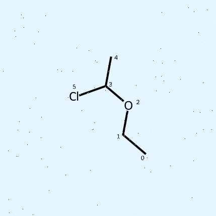 CCOC(C)Cl